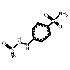 NS(=O)(=O)c1ccc(NN[SH](=O)=O)cc1